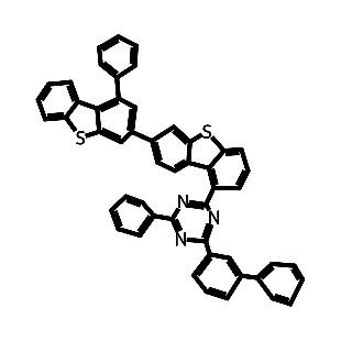 c1ccc(-c2cccc(-c3nc(-c4ccccc4)nc(-c4cccc5sc6cc(-c7cc(-c8ccccc8)c8c(c7)sc7ccccc78)ccc6c45)n3)c2)cc1